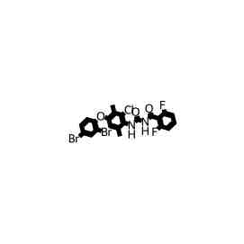 Cc1cc(Oc2ccc(Br)cc2Br)c(C)c(Cl)c1NC(=O)NC(=O)c1c(F)cccc1F